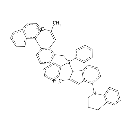 CC(C)=Cc1c(CS(c2ccccc2)(c2ccccc2)C2C(C)=Cc3c2cccc3N2CCCc3ccccc32)cccc1-c1cccc2ccccc12